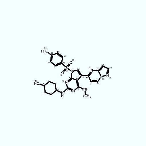 CNc1nc(NC2CCC(O)CC2)nc2c1c(-c1ccn3nccc3n1)cn2S(=O)(=O)c1ccc(C)cc1